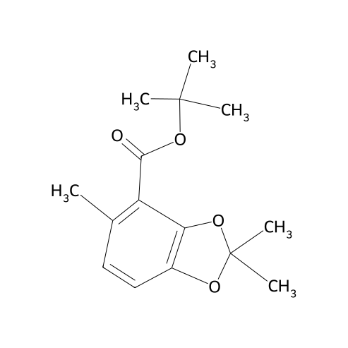 Cc1ccc2c(c1C(=O)OC(C)(C)C)OC(C)(C)O2